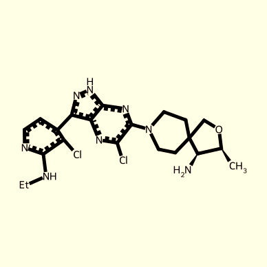 CCNc1nccc(-c2n[nH]c3nc(N4CCC5(CC4)CO[C@@H](C)[C@H]5N)c(Cl)nc23)c1Cl